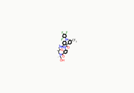 C[C@@H]1CN([C@@H](C)CO)C(=O)c2cccc(NC(=O)Cc3ccc(C(F)(F)F)cc3)c2O[C@@H]1CN(C)Cc1ccc(N(C)c2cc(F)c(F)cc2F)cc1